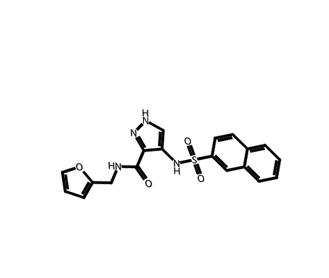 O=C(NCc1ccco1)c1n[nH]cc1NS(=O)(=O)c1ccc2ccccc2c1